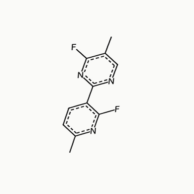 Cc1ccc(-c2ncc(C)c(F)n2)c(F)n1